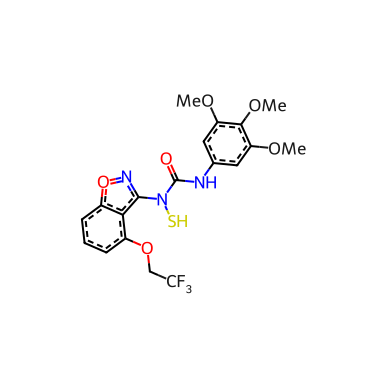 COc1cc(NC(=O)N(S)c2noc3cccc(OCC(F)(F)F)c23)cc(OC)c1OC